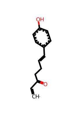 [CH]=CC(=O)CCC=Cc1ccc(O)cc1